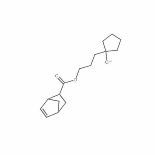 O=C(OCCCC1(O)CCCC1)C1CC2C=CC1C2